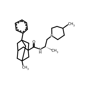 CC1CCN(C[C@H](C)NC(=O)C23CC4CC(C)(C2)CC(c2ccccc2)(C4)C3)CC1